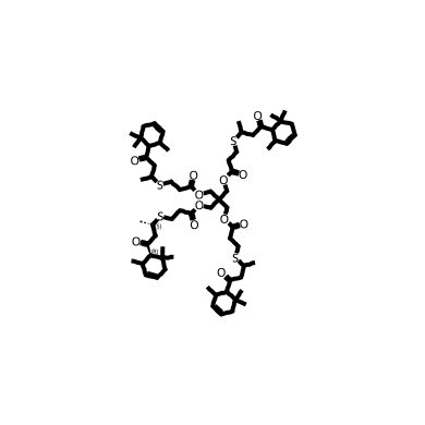 CC(CC(=O)C1C(C)C=CCC1(C)C)SCCC(=O)OCC(COC(=O)CCSC(C)CC(=O)C1C(C)C=CCC1(C)C)(COC(=O)CCSC(C)CC(=O)C1C(C)C=CCC1(C)C)COC(=O)CCS[C@@H](C)CC(=O)[C@@H]1C(C)C=CCC1(C)C